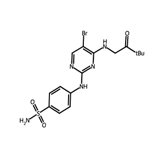 CC(C)(C)C(=O)CNc1nc(Nc2ccc(S(N)(=O)=O)cc2)ncc1Br